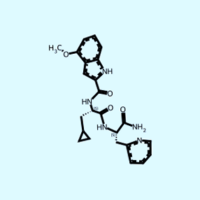 COc1cccc2[nH]c(C(=O)N[C@@H](CC3CC3)C(=O)N[C@@H](Cc3ccccn3)C(N)=O)cc12